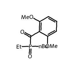 CCCCP(=O)(CC)C(=O)c1c(OC)cccc1OC